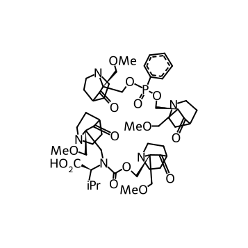 COC[C@@]1(COP(=O)(OC[C@]2(COC)C(=O)C3CCN2CC3)c2ccccc2)C(=O)C2CCN1CC2.COC[C@]1(CN(C(=O)OC[C@]2(COC)C(=O)C3CCN2CC3)[C@H](C(=O)O)C(C)C)C(=O)C2CCN1CC2